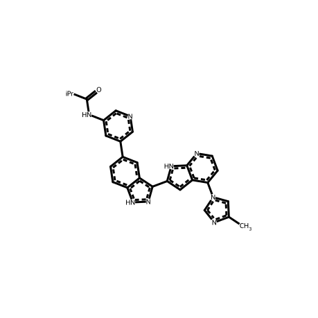 Cc1cn(-c2ccnc3[nH]c(-c4n[nH]c5ccc(-c6cncc(NC(=O)C(C)C)c6)cc45)cc23)cn1